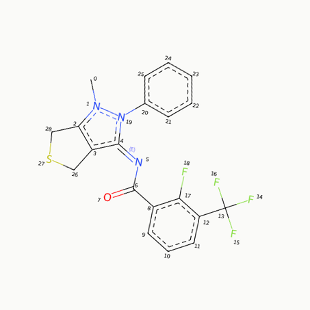 Cn1c2c(/c(=N\C(=O)c3cccc(C(F)(F)F)c3F)n1-c1ccccc1)CSC2